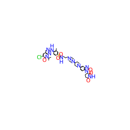 Cc1cc(S(=O)(=O)NCCCN2CCN(C3CCN(c4ccc5c(c4)n(C)c(=O)n5C4CCC(=O)NC4=O)CC3)CC2)ccc1Nc1ncc2cc(Cl)c(=O)n(C(C)C)c2n1